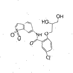 O=C(Nc1ccc2c(c1)S(=O)(=O)C=C2)c1cc(Cl)ccc1OCC(O)CO